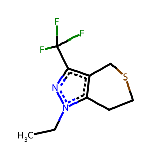 CCn1nc(C(F)(F)F)c2c1CCSC2